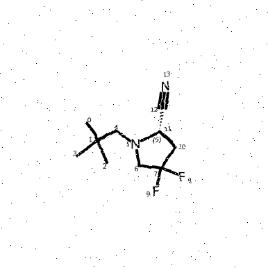 CC(C)(C)CN1CC(F)(F)C[C@H]1C#N